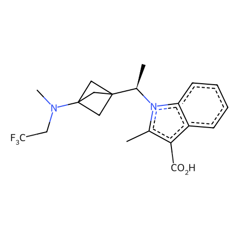 Cc1c(C(=O)O)c2ccccc2n1[C@H](C)C12CC(N(C)CC(F)(F)F)(C1)C2